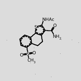 CC(=O)Nc1sc2c(c1C(N)=O)CCc1c-2cccc1S(C)(=O)=O